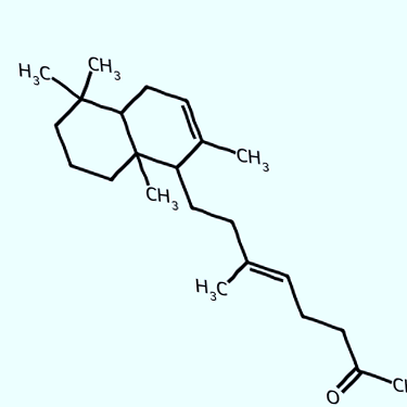 CC(=O)CC/C=C(\C)CCC1C(C)=CCC2C(C)(C)CCCC12C